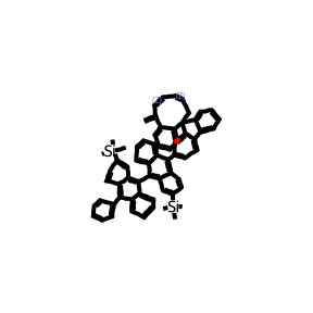 C=C1/C=C\C=C/CC2(c3ccccc31)c1ccccc1-c1ccc(-c3c4ccccc4c(-c4c5ccccc5c(-c5ccccc5)c5ccc([Si](C)(C)C)cc45)c4cc([Si](C)(C)C)ccc34)cc12